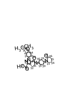 CC1(C)Cc2cc(-n3nc(C(=O)O)c4c3C(=O)N(c3ccc(N5CCCCC5=O)cc3)CC4)ccc2O1